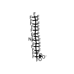 O=S(=O)([O-])C(F)(F)C(F)(F)C(F)(F)C(F)(F)C(F)(F)C(F)(F)C(F)(F)C(F)(F)C(F)(F)C(F)(F)C(F)(F)C(F)(F)C(F)(F)F.[Na+]